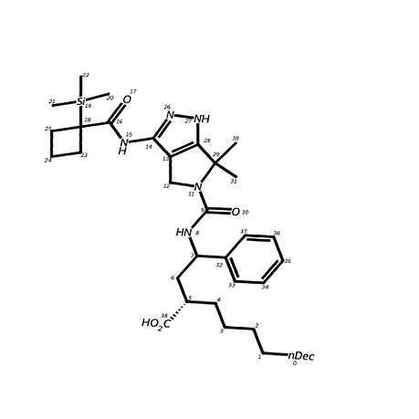 CCCCCCCCCCCCCC[C@@H](CC(NC(=O)N1Cc2c(NC(=O)C3([Si](C)(C)C)CCC3)n[nH]c2C1(C)C)c1ccccc1)C(=O)O